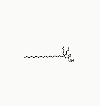 CCCCCCCCCCCCCCCCCC([CH]C(=O)O)(CCCC)CCCC